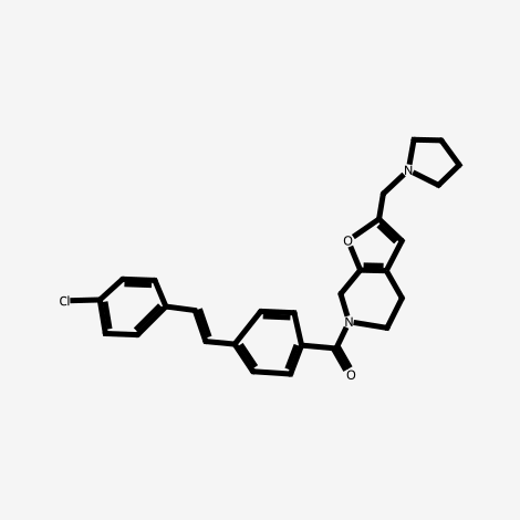 O=C(c1ccc(C=Cc2ccc(Cl)cc2)cc1)N1CCc2cc(CN3CCCC3)oc2C1